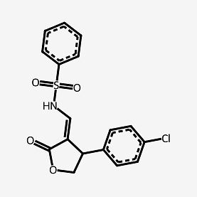 O=C1OCC(c2ccc(Cl)cc2)C1=CNS(=O)(=O)c1ccccc1